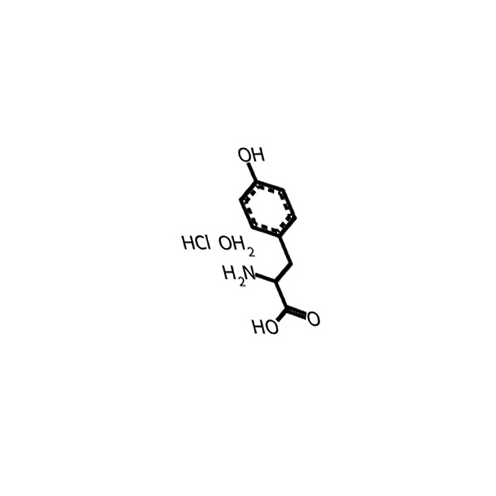 Cl.NC(Cc1ccc(O)cc1)C(=O)O.O